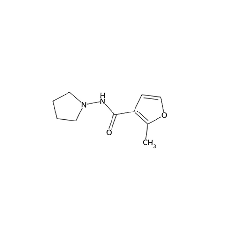 Cc1occc1C(=O)NN1CCCC1